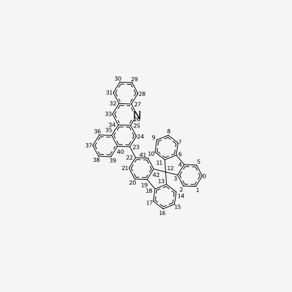 c1ccc2c(c1)-c1ccccc1C21c2ccccc2-c2ccc(-c3cc4nc5ccccc5cc4c4ccccc34)cc21